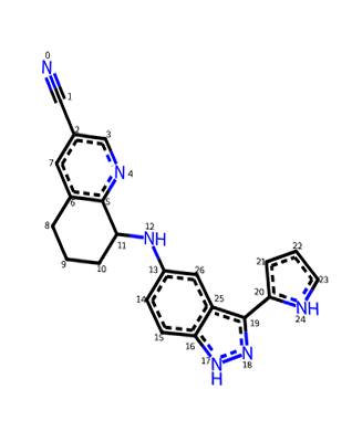 N#Cc1cnc2c(c1)CCCC2Nc1ccc2[nH]nc(-c3ccc[nH]3)c2c1